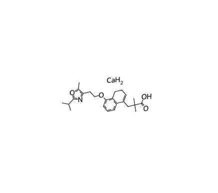 Cc1oc(C(C)C)nc1CCOc1cccc2c1CCC=C2CC(C)(C)C(=O)O.[CaH2]